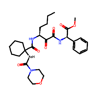 CCCC[C@H](NC(=O)C1([AsH]C(=O)N2CCOCC2)CCCCC1)C(=O)C(=O)N[C@@H](C(=O)OC)c1ccccc1